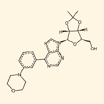 CC1(C)O[C@@H]2[C@H](O1)[C@@H](CO)O[C@H]2n1cnc2c(-c3cccc(N4CCOCC4)c3)ncnc21